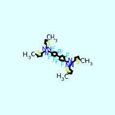 Cc1ccc(-c2nc(-c3ccc(C)s3)nc(-c3c(F)c(F)c(-c4c(F)c(F)c(-c5nc(-c6ccc(C)s6)nc(-c6ccc(C)s6)n5)c(F)c4F)c(F)c3F)n2)s1